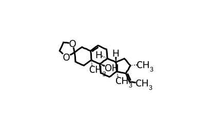 C/C=C1\[C@@H](C)C[C@H]2[C@@H]3CC=C4CC5(CC[C@]4(C)[C@@]3(O)CC[C@]12C)OCCO5